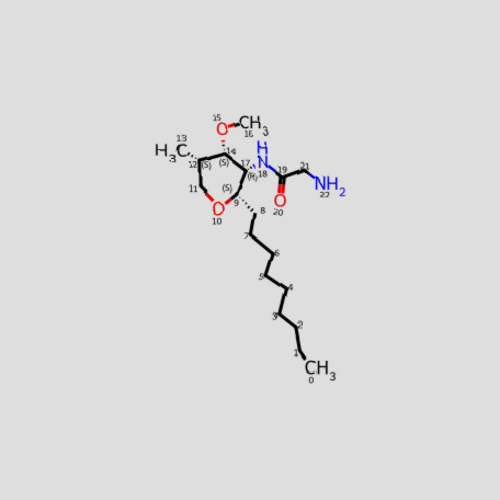 CCCCCCCCC[C@@H]1OC[C@H](C)[C@H](OC)[C@@H]1NC(=O)CN